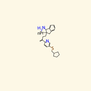 C=C(CCC1(CCC)Cc2ccccc2C1N)c1ccc(SCC2CCCC2)cn1